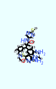 CCN(N)c1ccc(C(c2ccc(C)c(CN3CCOc4ncccc4S3)c2)C(C)(C)C(=O)Nc2cnc(SC)nc2)c(C)c1N